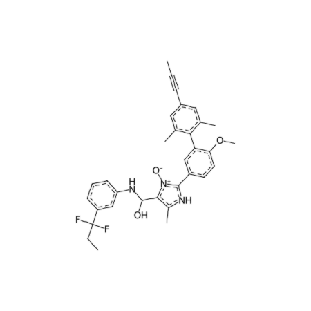 CC#Cc1cc(C)c(-c2cc(-c3[nH]c(C)c(C(O)Nc4cccc(C(F)(F)CC)c4)[n+]3[O-])ccc2OC)c(C)c1